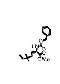 C=CC(C)(C)C/C=C(/NC(=O)OCc1ccccc1)C(=O)OC